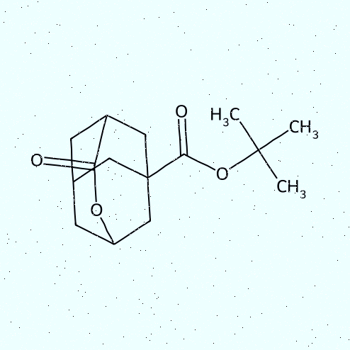 CC(C)(C)OC(=O)C12CC3CC(C1)OC(=O)C(C3)C2